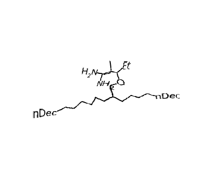 CCCCCCCCCCCCCCCCC(CCCCCCCCCCCCCC)COC(CC)C(C)=C(N)N